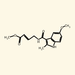 COC(=O)/C=C/CNC(=O)c1c(C)[nH]c2ccc(OC)cc12